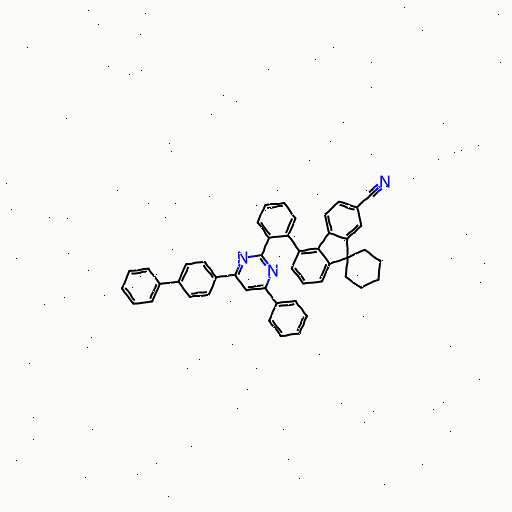 N#Cc1ccc2c(c1)C1(CCCCC1)c1cccc(-c3ccccc3-c3nc(-c4ccccc4)cc(-c4ccc(-c5ccccc5)cc4)n3)c1-2